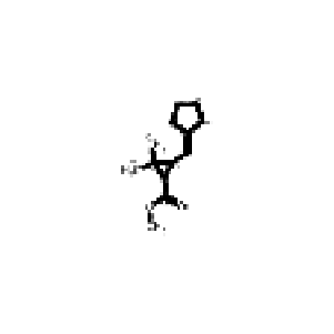 COC(=O)C1C(C=C2CCCC2)C1(C)C